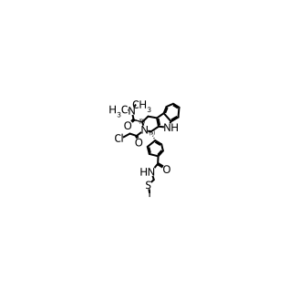 CN(C)C(=O)[C@H]1Cc2c([nH]c3ccccc23)[C@H](c2ccc(C(=O)NCSI)cc2)N1C(=O)CCl